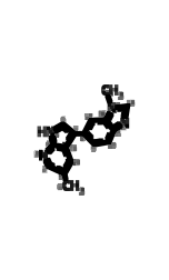 Cc1cnc2[nH]cc(-c3ccc4ncn(C)c4c3)c2c1